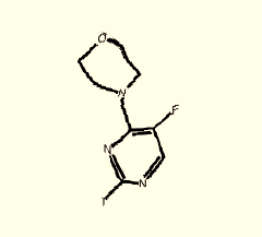 Fc1cnc(I)nc1N1CCOCC1